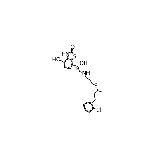 [CH2]C(CCc1ccccc1Cl)SCCCNC[C@@H](O)c1ccc(O)c2[nH]c(=O)sc12